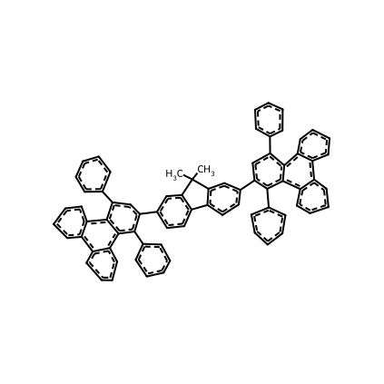 CC1(C)c2cc(-c3cc(-c4ccccc4)c4c5ccccc5c5ccccc5c4c3-c3ccccc3)ccc2-c2ccc(-c3cc(-c4ccccc4)c4c5ccccc5c5ccccc5c4c3-c3ccccc3)cc21